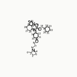 CC1CCCN1CCCOc1ccc(N(C(=O)OCc2ccccc2)C2CCCc3scnc32)cc1